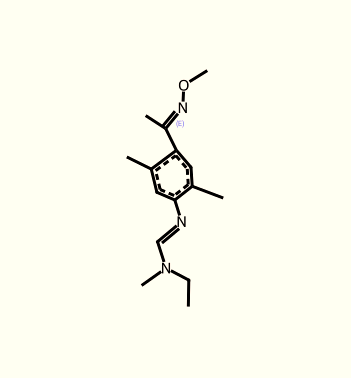 CCN(C)C=Nc1cc(C)c(/C(C)=N/OC)cc1C